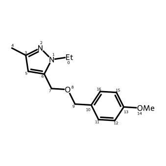 CCn1nc(C)cc1COCc1ccc(OC)cc1